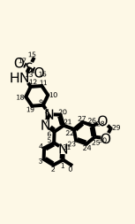 Cc1cccc(-c2nn(C3CCC(NS(C)(=O)=O)CC3)cc2-c2ccc3c(c2)OCO3)n1